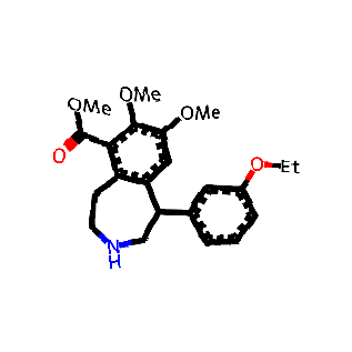 CCOc1cccc(C2CNCCc3c2cc(OC)c(OC)c3C(=O)OC)c1